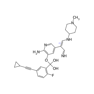 CN1CCC(N/C=C(\C=N)c2cnc(N)c(OC(O)(O)c3cc(C#CC4CC4)ccc3F)c2)CC1